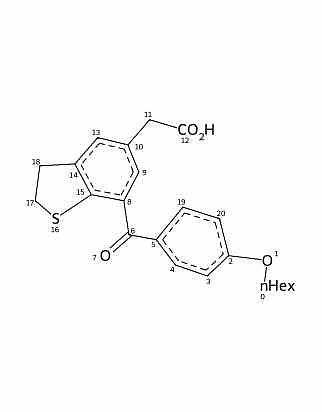 CCCCCCOc1ccc(C(=O)c2cc(CC(=O)O)cc3c2SCC3)cc1